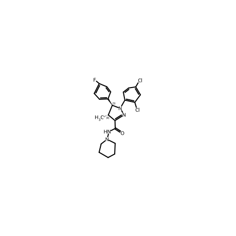 C[C@H]1C(C(=O)NN2CCCCC2)=NN(c2ccc(Cl)cc2Cl)[C@@H]1c1ccc(F)cc1